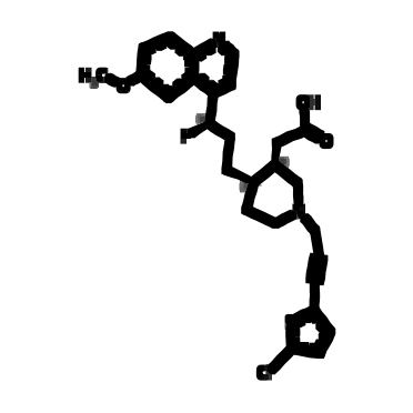 COc1ccc2nccc([C@H](F)CC[C@@H]3CCN(CC#Cc4ccc(Cl)s4)C[C@@H]3CC(=O)O)c2c1